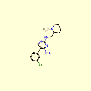 CN1CCCCC1CNc1ncc(-c2cccc(Cl)c2)c(N)n1